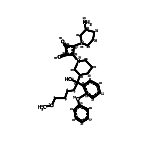 COCCCCC(O)(c1ccccc1Oc1ccccc1)C1CCCN(c2c(N3CCCC(N)C3)c(=O)c2=O)C1